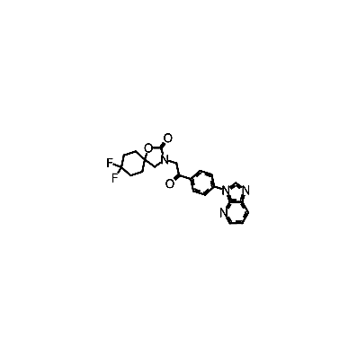 O=C(CN1CC2(CCC(F)(F)CC2)OC1=O)c1ccc(-n2cnc3cccnc32)cc1